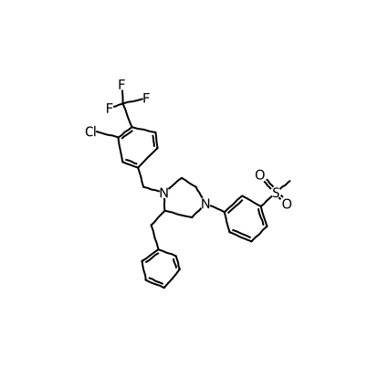 CS(=O)(=O)c1cccc(N2CCN(Cc3ccc(C(F)(F)F)c(Cl)c3)C(Cc3ccccc3)C2)c1